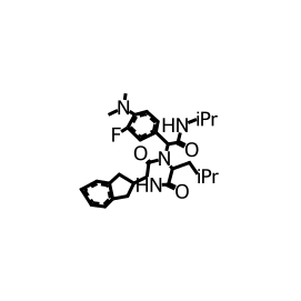 CC(C)CC1C(=O)NC(C2Cc3ccccc3C2)C(=O)N1C(C(=O)NC(C)C)c1ccc(N(C)C)c(F)c1